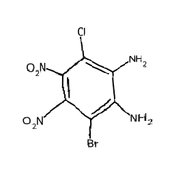 Nc1c(N)c(Br)c([N+](=O)[O-])c([N+](=O)[O-])c1Cl